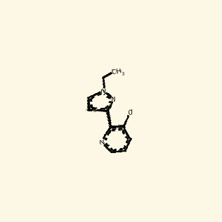 CCn1c[c]c(-c2ncccc2Cl)n1